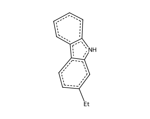 [CH2]Cc1ccc2c(c1)[nH]c1ccccc12